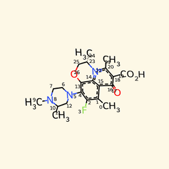 Cc1c(F)c(N2CCN(C)C(C)C2)c2c3c1c(=O)c(C(=O)O)c(C)n3[C@@H](C)CO2